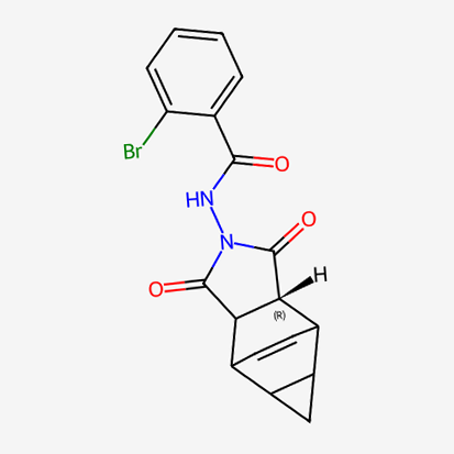 O=C(NN1C(=O)C2C3C=CC(C4CC34)[C@H]2C1=O)c1ccccc1Br